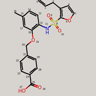 C=CCc1ccoc1S(=O)(=O)Nc1ccc(C)cc1OCc1ccc(C(=O)O)cc1